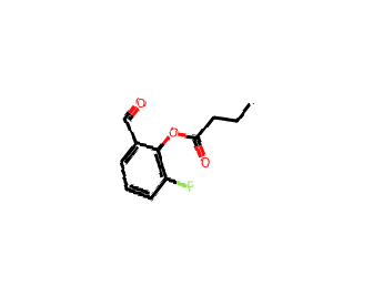 [CH2]CCC(=O)Oc1c(F)cccc1C=O